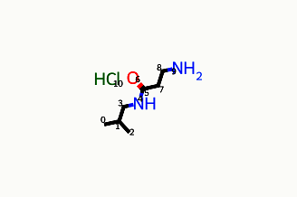 CC(C)CNC(=O)CCN.Cl